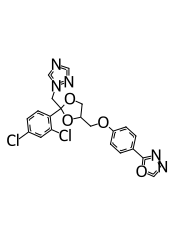 Clc1ccc(C2(Cn3cncn3)OCC(COc3ccc(-c4nnco4)cc3)O2)c(Cl)c1